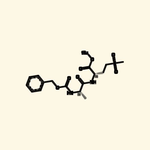 C[C@H](NC(=O)OCc1ccccc1)C(=O)N[C@@H](CCS(C)(=O)=O)C(=O)OC(C)(C)C